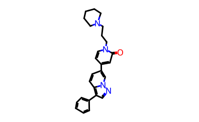 O=c1cc(-c2ccc3c(-c4ccccc4)cnn3c2)ccn1CCCN1CCCCC1